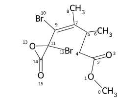 COC(=O)CC(C)C(C)=C(Br)C1(Br)OC1=O